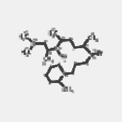 CC1CCCCN1CCCN(C(C)C)C(C)CCC(C)N(S)C(C)CN(C)C